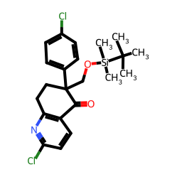 CC(C)(C)[Si](C)(C)OCC1(c2ccc(Cl)cc2)CCc2nc(Cl)ccc2C1=O